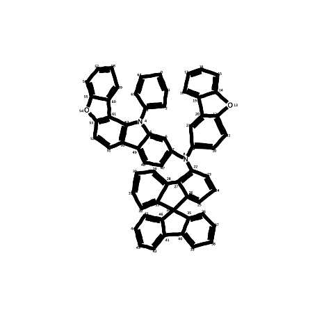 c1ccc(-n2c3cc(N(c4ccc5oc6ccccc6c5c4)c4cccc5c4-c4ccccc4C54c5ccccc5-c5ccccc54)ccc3c3ccc4oc5ccccc5c4c32)cc1